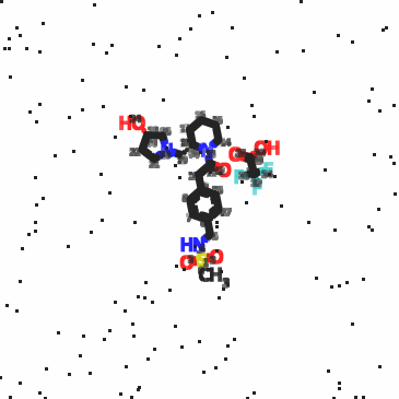 CS(=O)(=O)NCc1ccc(CC(=O)N2CCCC[C@H]2CN2CC[C@H](O)C2)cc1.O=C(O)C(F)(F)F